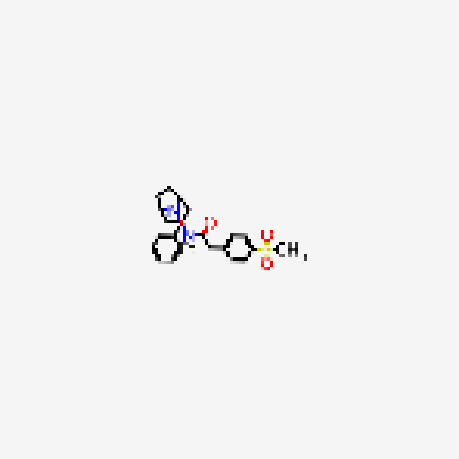 CCN(C(=O)Cc1ccc(S(C)(=O)=O)cc1)C1CC2CCC(C1)N2Cc1ccccc1